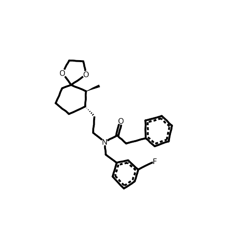 C[C@H]1[C@H](CCN(Cc2cccc(F)c2)C(=O)Cc2ccccc2)CCCC12OCCO2